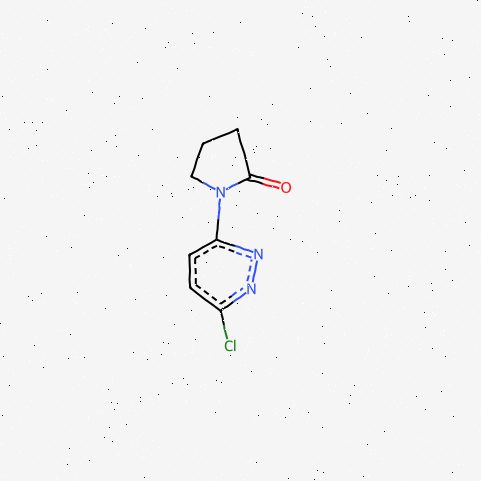 O=C1CCCN1c1ccc(Cl)nn1